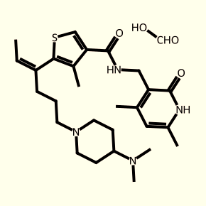 CC=C(CCCN1CCC(N(C)C)CC1)c1scc(C(=O)NCc2c(C)cc(C)[nH]c2=O)c1C.O=CO